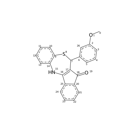 COc1cccc(C2Sc3ccccc3NC3=C2C(=O)c2ccccc23)c1